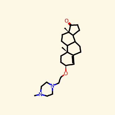 CN1CCN(CCO[C@@H]2C=C3CCC4C(CC[C@]5(C)C(=O)CCC45)[C@@]3(C)CC2)CC1